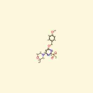 COc1ccc(COc2cc(N3CCOC(C)C3)nc(S(C)(=O)=O)n2)cc1